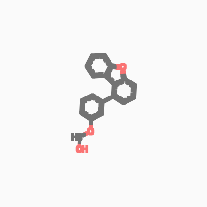 OBOc1cccc(-c2cccc3oc4ccccc4c23)c1